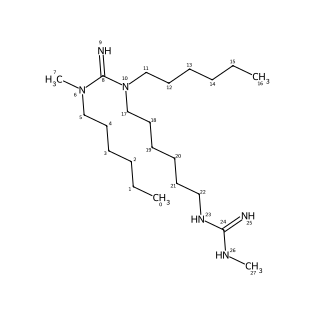 CCCCCCN(C)C(=N)N(CCCCCC)CCCCCCNC(=N)NC